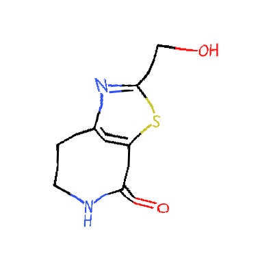 O=C1NCCc2nc(CO)sc21